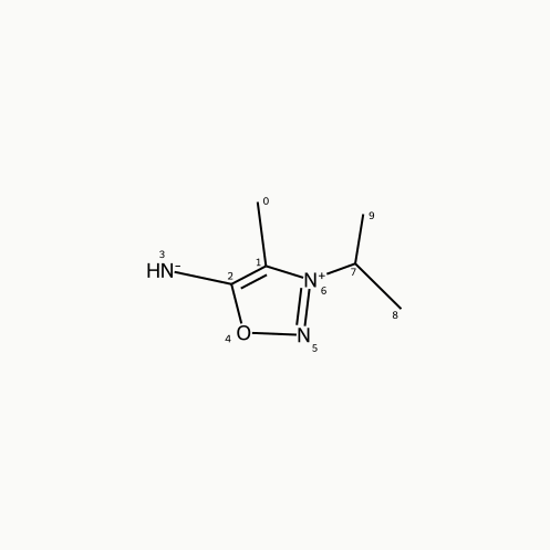 Cc1c([NH-])on[n+]1C(C)C